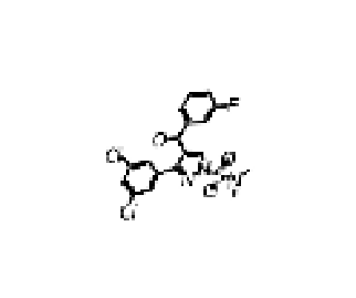 CN(C)S(=O)(=O)n1cc(C(=O)c2cccc(F)c2)c(-c2cc(Cl)cc(Cl)c2)n1